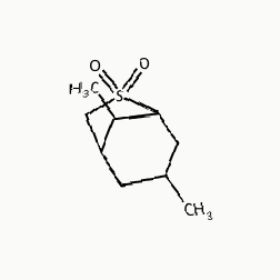 CC1CC2CS(=O)(=O)C(C1)C2C